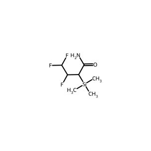 C[Si](C)(C)C(C(N)=O)C(F)C(F)F